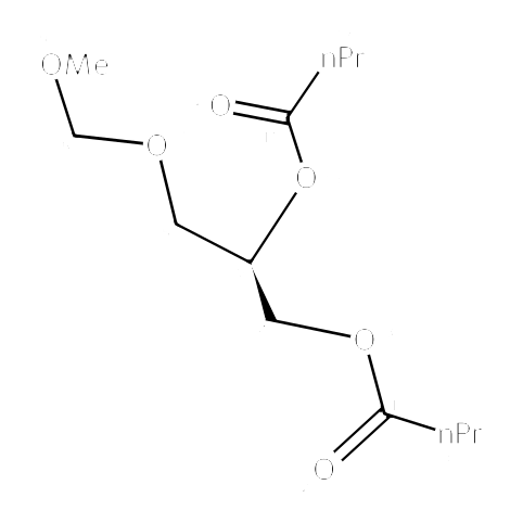 CCCC(=O)OC[C@@H](COCOC)OC(=O)CCC